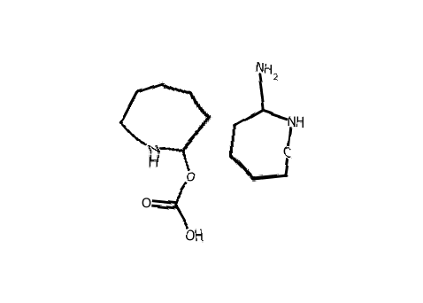 NC1CCCCCN1.O=C(O)OC1CCCCCN1